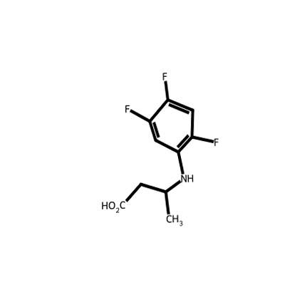 CC(CC(=O)O)Nc1cc(F)c(F)cc1F